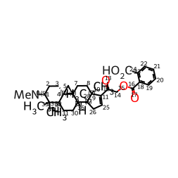 CN[C@H]1CC[C@]23C[C@]24CC[C@]2(C)C(C(=O)COC(=O)c5ccccc5C(=O)O)=CC[C@@]2(C)[C@@H]4CC[C@H]3C1(C)C